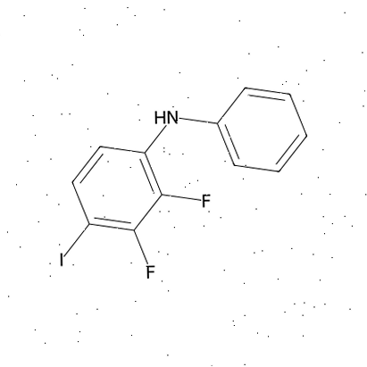 Fc1c(I)ccc(Nc2ccccc2)c1F